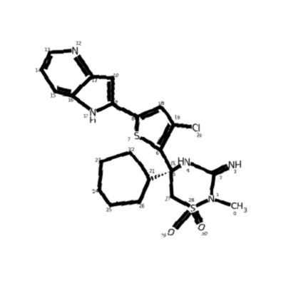 CN1C(=N)N[C@@](c2sc(-c3cc4ncccc4[nH]3)cc2Cl)(C2CCCCC2)CS1(=O)=O